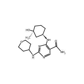 C[C@]1(O)CCC[C@@H](Nc2nc(NC3CCOCC3)ncc2C(N)=O)C1